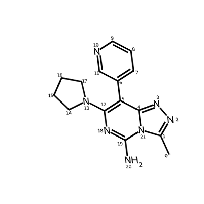 Cc1nnc2c(-c3cccnc3)c(N3CCCC3)nc(N)n12